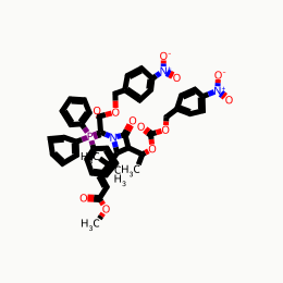 COC(=O)C=CC(C)(C)C1C(C(C)OC(=O)OCc2ccc([N+](=O)[O-])cc2)C(=O)N1C(C(=O)OCc1ccc([N+](=O)[O-])cc1)=P(c1ccccc1)(c1ccccc1)c1ccccc1